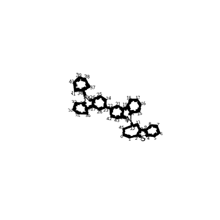 C1=Cc2sc3ccccc3c2C=C(n2c3ccccc3c3cc(-c4ccc5c(c4)c4ccccc4n5-c4ccccc4)ccc32)C1